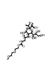 COCCOCCOC(=O)NCC(=O)NC1C(O)CC(C(=O)O)(C(C)C)OC1[C@H](O)[C@H](O)CO